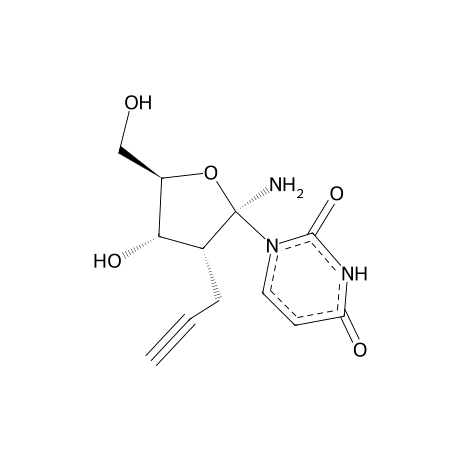 C#CC[C@@H]1[C@H](O)[C@@H](CO)O[C@@]1(N)n1ccc(=O)[nH]c1=O